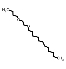 CCCCCCCCCCCCOCCOCCCC